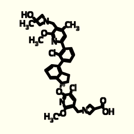 COc1nc(O[C@H]2CCc3c(-c4cccc(-c5cc(C)c(CN6CC(C)(O)C6)c(OC)n5)c4Cl)cccc32)c(Cl)cc1CN1CC(C(=O)O)C1